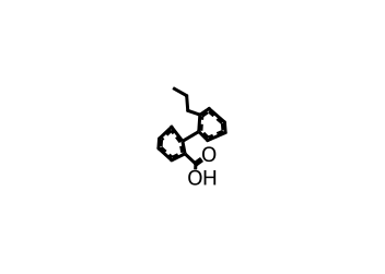 CCCc1ccccc1-c1ccccc1C(=O)O